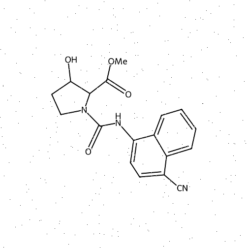 COC(=O)C1C(O)CCN1C(=O)Nc1ccc(C#N)c2ccccc12